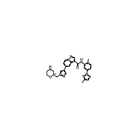 Cc1cnn(-c2ccc(C)c(NC(=O)c3cnn4ccc(-c5cnn(C[C@@H]6CNCCO6)c5)cc34)c2)n1